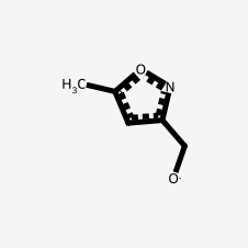 Cc1cc(C[O])no1